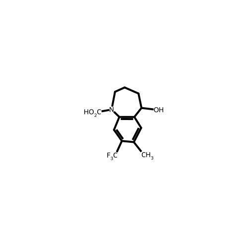 Cc1cc2c(cc1C(F)(F)F)N(C(=O)O)CCCC2O